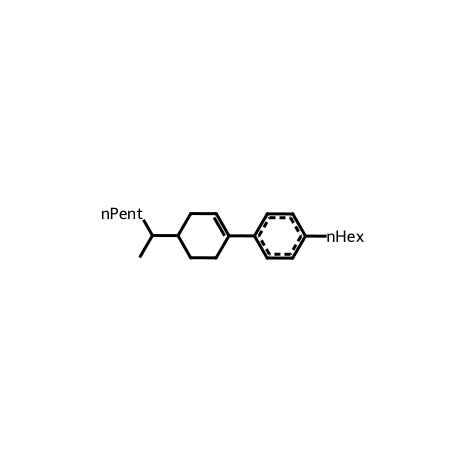 CCCCCCc1ccc(C2=CCC(C(C)CCCCC)CC2)cc1